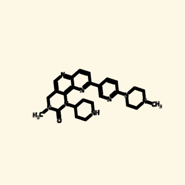 CN1CCN(c2ccc(-c3ccc4ncc5c(c4n3)N(C3CCNCC3)C(=O)N(C)C5)cn2)CC1